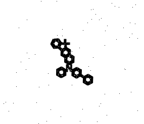 CC1(C)c2ccccc2-c2cc3cc(N(c4ccccc4)c4ccc(-c5ccccc5)cc4)ccc3cc21